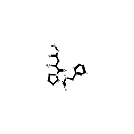 CC(C)(C)OC(=O)CC(N)C(=O)N1CCC[C@H]1C(=O)OCc1ccccc1